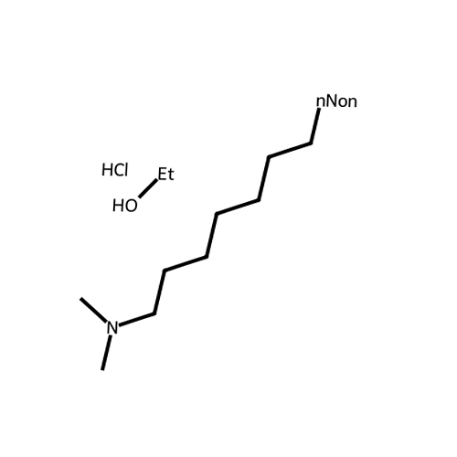 CCCCCCCCCCCCCCCCN(C)C.CCO.Cl